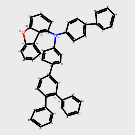 c1ccc(-c2ccc(N(c3ccc(-c4ccc(-c5ccccc5)c(-c5ccccc5)c4)cc3)c3cccc4oc5ccccc5c34)cc2)cc1